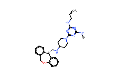 C=CCNc1nc(NCC)nc(N2CCC(NC[C@H]3c4ccccc4COc4ccccc43)CC2)n1